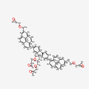 CC(OCC1CO1)c1cc2ccc3ccc(-c4ccc5c(c4)C(CCCOCC4CO4)(COCC4CO4)c4cc(-c6ccc7ccc8cc(CCOCC9CO9)cc9ccc6c7c89)ccc4-5)c4ccc(c1)c2c34